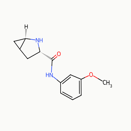 COc1cccc(NC(=O)[C@@H]2CC3C[C@H]3N2)c1